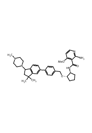 COc1ccnc(N)c1C(=O)N[C@H]1CCC[C@@H]1OCc1ccc(-c2ccc3c(c2)C(C)(C)CC3N2CCN(C)CC2)cc1